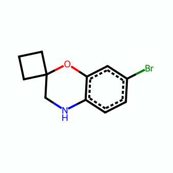 Brc1ccc2c(c1)OC1(CCC1)CN2